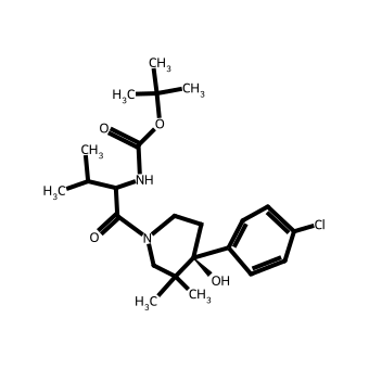 CC(C)C(NC(=O)OC(C)(C)C)C(=O)N1CC[C@](O)(c2ccc(Cl)cc2)C(C)(C)C1